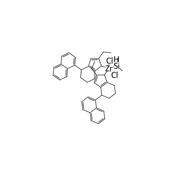 CCC1=CC2=C(CCCC2c2cccc3ccccc23)[CH]1[Zr]([Cl])([Cl])([CH]1C(CC)=CC2=C1CCCC2c1cccc2ccccc12)[SiH](C)C